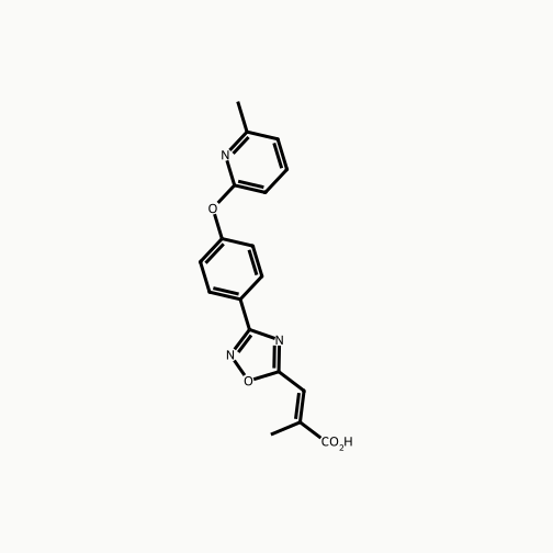 CC(=Cc1nc(-c2ccc(Oc3cccc(C)n3)cc2)no1)C(=O)O